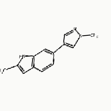 Cc1cc2ccc(-c3cnn(C)c3)cc2[nH]1